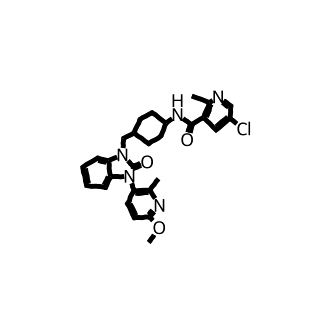 COc1ccc(-n2c(=O)n(CC3CCC(NC(=O)c4cc(Cl)cnc4C)CC3)c3ccccc32)c(C)n1